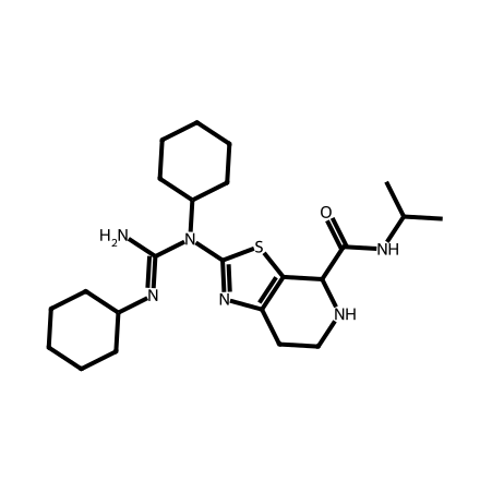 CC(C)NC(=O)C1NCCc2nc(N(C(N)=NC3CCCCC3)C3CCCCC3)sc21